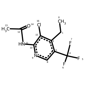 CCc1c(C(F)(F)F)cnc(NC(C)=O)c1Cl